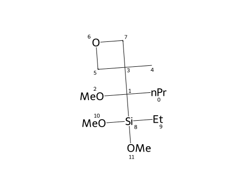 CCCC(OC)(C1(C)COC1)[Si](CC)(OC)OC